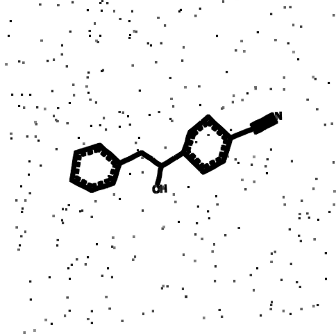 N#Cc1ccc(C(O)Cc2ccccc2)cc1